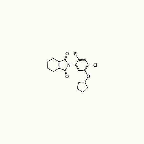 O=C1C2=C(CCCC2)C(=O)N1c1cc(OC2CCCC2)c(Cl)cc1F